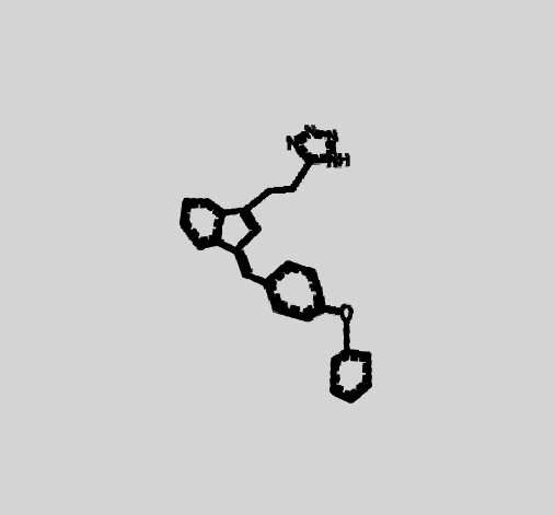 C1=C(CCc2nnn[nH]2)c2ccccc2/C1=C/c1ccc(Oc2ccccc2)cc1